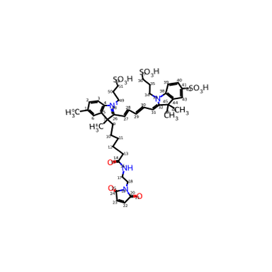 Cc1ccc2c(c1)C(C)(CCCCCC(=O)NCCN1C(=O)C=CC1=O)C(/C=C/C=C/C=C1\N(CCCS(=O)(=O)O)c3ccc(S(=O)(=O)O)cc3C1(C)C)=[N+]2CCCS(=O)(=O)O